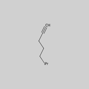 C#CCCCC(C)C